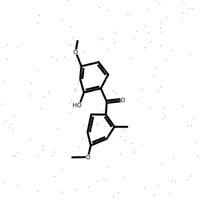 COc1ccc(C(=O)c2ccc(OC)cc2O)c(C)c1